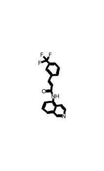 O=C(C=Cc1cccc(C(F)(F)F)c1)Nc1cccc2cnccc12